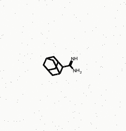 N=C(N)C1C2CC3CC(C2)CC1C3